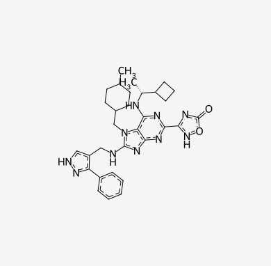 CC1CCC(Cn2c(NCc3c[nH]nc3-c3ccccc3)nc3nc(-c4nc(=O)o[nH]4)nc(N[C@H](C)C4CCC4)c32)CC1